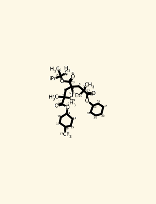 CCC(C)(CC(F)(CC(C)(C)C(=O)OC1CCC(C(F)(F)F)CC1)C(=O)OC(C)(C)C(C)C)C(=O)OC1CCCCC1